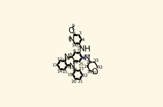 COc1ccc(Nc2cc3nc4ccccc4n(-c4ccccc4)c-3c/c2=N\C2CCOCC2)cn1